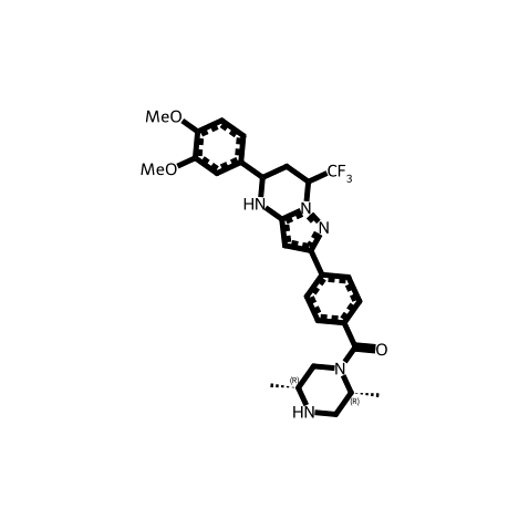 COc1ccc(C2CC(C(F)(F)F)n3nc(-c4ccc(C(=O)N5C[C@@H](C)NC[C@H]5C)cc4)cc3N2)cc1OC